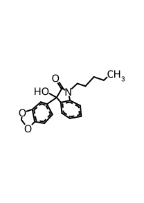 CCCCCN1C(=O)C(O)(c2ccc3c(c2)OCO3)c2ccccc21